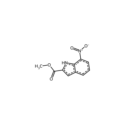 COC(=O)c1cc2cccc([N+](=O)[O-])c2[nH]1